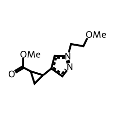 COCCn1cc(C2CC2C(=O)OC)cn1